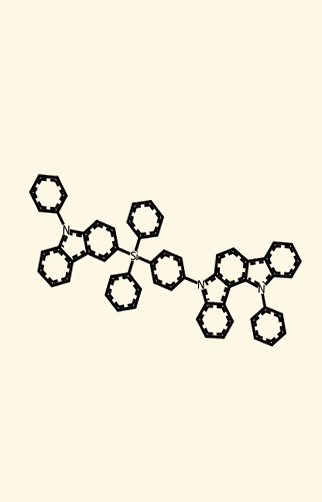 c1ccc(-n2c3ccccc3c3cc([Si](c4ccccc4)(c4ccccc4)c4ccc(-n5c6ccccc6c6c5ccc5c7ccccc7n(-c7ccccc7)c56)cc4)ccc32)cc1